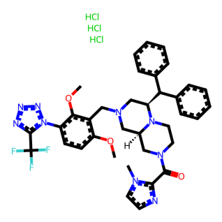 COc1ccc(-n2nnnc2C(F)(F)F)c(OC)c1CN1C[C@@H]2CN(C(=O)c3nccn3C)CCN2[C@H](C(c2ccccc2)c2ccccc2)C1.Cl.Cl.Cl